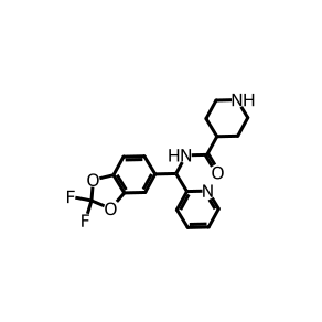 O=C(NC(c1ccc2c(c1)OC(F)(F)O2)c1ccccn1)C1CCNCC1